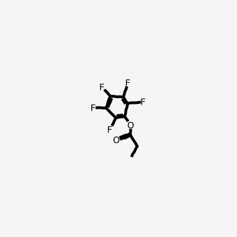 CCC(=O)Oc1c(F)c(F)c(F)c(F)c1F